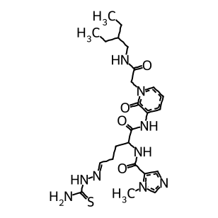 CCC(CC)CNC(=O)Cn1cccc(NC(=O)C(CCC=NNC(N)=S)NC(=O)c2cncn2C)c1=O